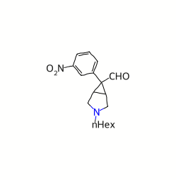 CCCCCCN1CC2C(C1)C2(C=O)c1cccc([N+](=O)[O-])c1